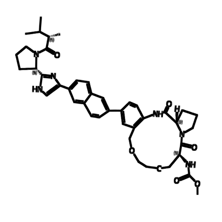 COC(=O)N[C@H]1CCCCOCc2cc(-c3ccc4cc(-c5c[nH]c([C@@H]6CCCN6C(=O)[C@@H](C)C(C)C)n5)ccc4c3)ccc2NC(=O)[C@@H]2CCCN2C1=O